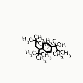 CC(C)C(C)(O)c1ccc(C(CC(C)(C)C)C(C)(C)C)cc1